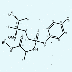 CO[C@](F)(COP(=O)(NC(C)C(=O)OC(C)C)Oc1ccc(Cl)cc1)[C@H](C)OC(C)=O